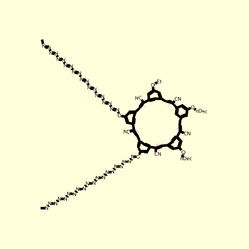 CCCCCCCCCCOc1cc2cc(c1)/C(C#N)=C/c1cc(OCC)cc(c1)/C(C#N)=C/c1cc(ON=NN=NN=NN=NN=NN=NN=NN=NN=NN=NC)cc(c1)/C(C#N)=C/c1cc(ON=NN=NN=NN=NN=NN=NN=NN=NN=NN=NC)cc(c1)/C(C#N)=C/c1cc(OCCCCCCCCCC)cc(c1)/C(C#N)=C/2